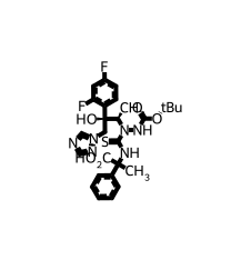 C[C@@H](N(NC(=O)OC(C)(C)C)C(=S)NC(C)(C(=O)O)c1ccccc1)[C@](O)(Cn1cncn1)c1ccc(F)cc1F